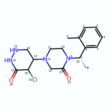 Cc1ccccc1[C@H](C)N1CCN(C2CNNC(=O)C2Cl)CC1=O